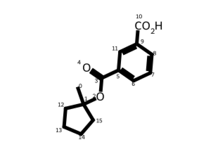 CC1(OC(=O)c2cccc(C(=O)O)c2)CCCC1